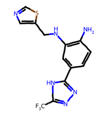 Nc1ccc(-c2nnc(C(F)(F)F)[nH]2)cc1NCc1cncs1